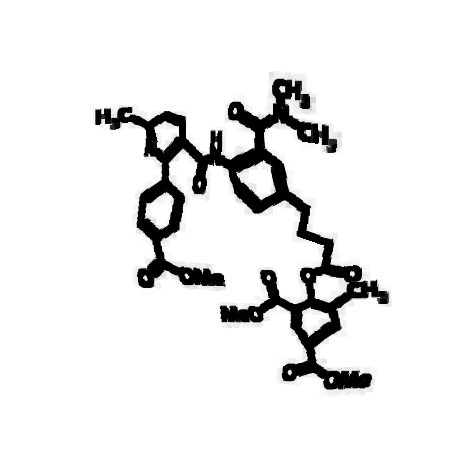 COC(=O)c1ccc(-c2nc(C)ccc2C(=O)Nc2ccc(CCCC(=O)Oc3c(C)cc(C(=O)OC)cc3C(=O)OC)cc2C(=O)N(C)C)cc1